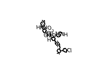 CN1CCN(Nc2ccc(S(=O)(=O)NC(=O)c3ccc(N4CCN(CC5=C(c6ccc(Cl)cc6)CC(C)(C)CC5)CC4)cc3Oc3ccc4[nH]ccc4n3)cc2[N+](=O)[O-])CC1